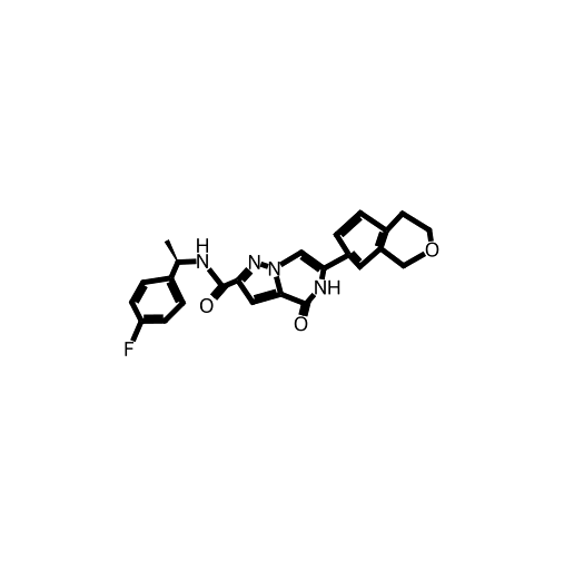 C[C@@H](NC(=O)c1cc2c(=O)[nH]c(-c3ccc4c(c3)COCC4)cn2n1)c1ccc(F)cc1